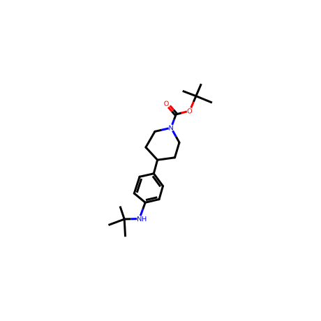 CC(C)(C)Nc1ccc(C2CCN(C(=O)OC(C)(C)C)CC2)cc1